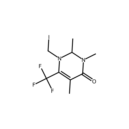 CC1=C(C(F)(F)F)N(CI)C(C)N(C)C1=O